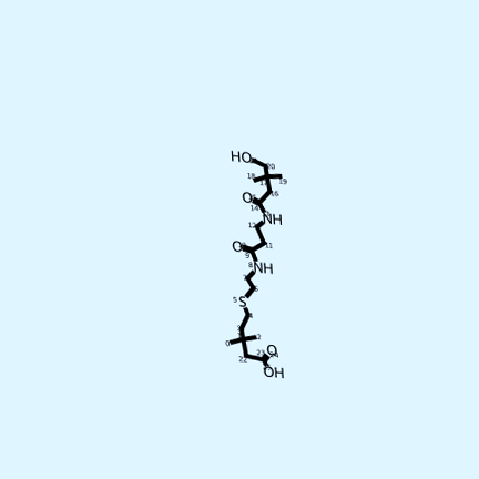 CC(C)(CCSCCNC(=O)CCNC(=O)CC(C)(C)CO)CC(=O)O